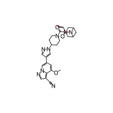 C=CC(=O)N1C2CC1CN(C(=O)N1CCC(n3cc(-c4cc(OC)c5c(C#N)cnn5c4)cn3)CC1)C2